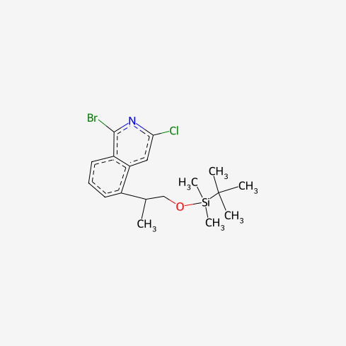 CC(CO[Si](C)(C)C(C)(C)C)c1cccc2c(Br)nc(Cl)cc12